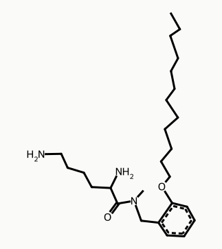 CCCCCCCCCCCCOc1ccccc1CN(C)C(=O)C(N)CCCCN